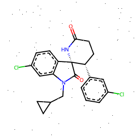 O=C1CC[C@H](c2cccc(Cl)c2)[C@@]2(N1)C(=O)N(CC1CC1)c1cc(Cl)ccc12